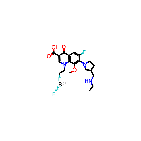 CCNCC1CCN(c2c(F)cc3c(=O)c(C(=O)O)cn(CCF)c3c2OC)C1.[B+3].[F-].[F-].[F-]